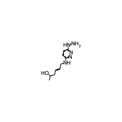 CC(O)CC=CCNc1ccc(NN)nn1